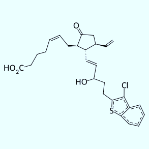 C=C[C@@H]1CC(=O)[C@H](C/C=C\CCCC(=O)O)[C@H]1/C=C/C(O)CCc1sc2ccccc2c1Cl